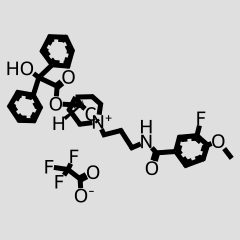 COc1ccc(C(=O)NCCC[N+]23CCC(CC2)[C@@H](OC(=O)C(O)(c2ccccc2)c2ccccc2)C3)cc1F.O=C([O-])C(F)(F)F